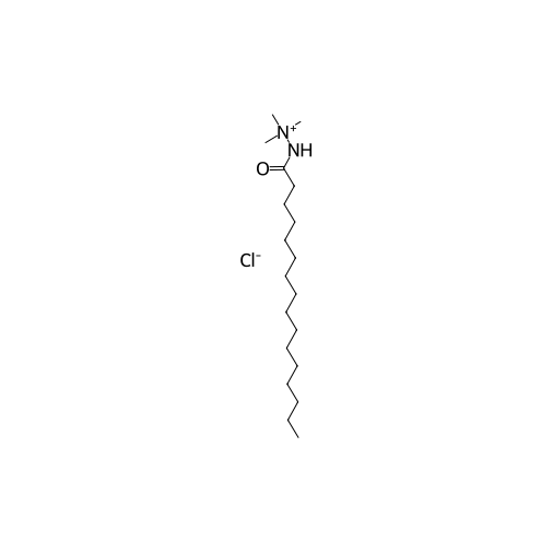 CCCCCCCCCCCCCCCC(=O)N[N+](C)(C)C.[Cl-]